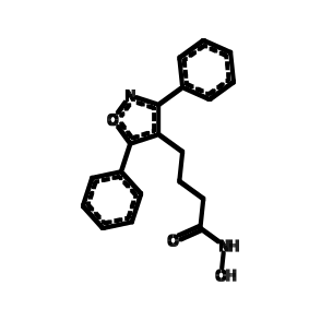 O=C(CCCc1c(-c2ccccc2)noc1-c1ccccc1)NO